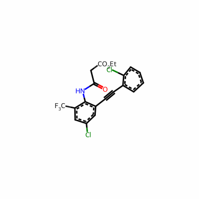 CCOC(=O)CC(=O)Nc1c(C#Cc2ccccc2Cl)cc(Cl)cc1C(F)(F)F